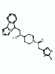 Cc1ncc(CC(=O)N2CCC(C(O)CC3c4ccccc4-c4cncn43)CC2)s1